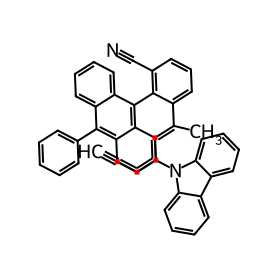 C#C/C=C(\C=C(/C)c1cccc(C#N)c1-c1c2ccccc2c(-c2ccccc2)c2ccccc12)n1c2ccccc2c2ccccc21